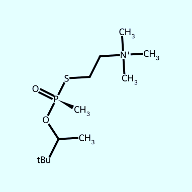 CC(O[P@](C)(=O)SCC[N+](C)(C)C)C(C)(C)C